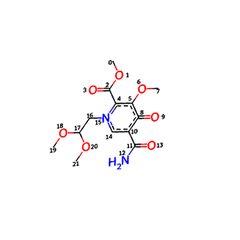 COC(=O)c1c(OC)c(=O)c(C(N)=O)cn1CC(OC)OC